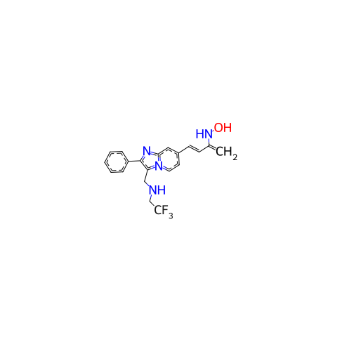 C=C(/C=C/c1ccn2c(CNCC(F)(F)F)c(-c3ccccc3)nc2c1)NO